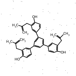 C=C(C)Cc1cc(-c2cc(-c3ccc(O)c(CC(=C)C)c3)cc(-c3ccc(O)c(CC(=C)C)c3)c2)ccc1O